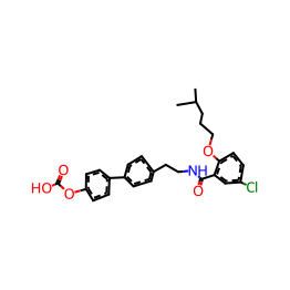 CC(C)CCCOc1ccc(Cl)cc1C(=O)NCCc1ccc(-c2ccc(OC(=O)O)cc2)cc1